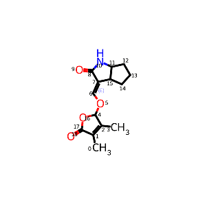 CC1=C(C)C(O/C=C2/C(=O)NC3CCCC23)OC1=O